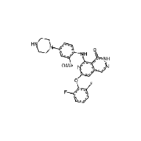 COc1cc(N2CCNCC2)ccc1Nc1nc(Oc2c(F)cccc2F)cc2cn[nH]c(=O)c12